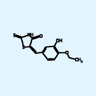 CCOc1ccc(C=C2SC(=S)NC2=O)cc1O